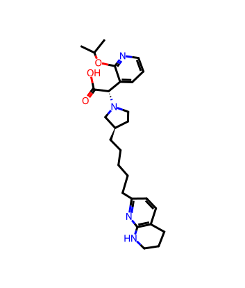 CC(C)Oc1ncccc1[C@@H](C(=O)O)N1CC[C@@H](CCCCCc2ccc3c(n2)NCCC3)C1